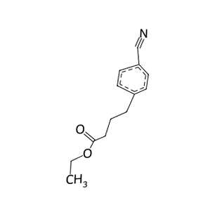 CCOC(=O)CCCc1ccc(C#N)cc1